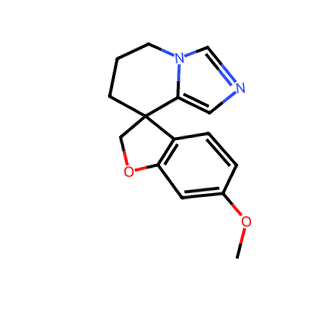 COc1ccc2c(c1)OCC21CCCn2cncc21